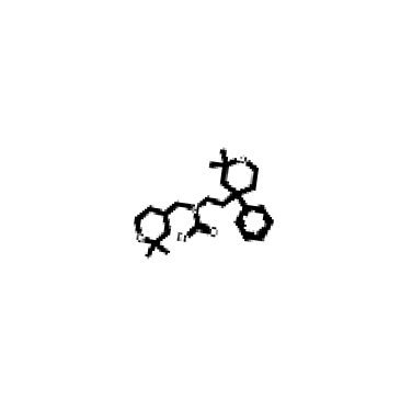 CCC(=O)N(CCC1(c2ccccc2)CCOC(C)(C)C1)CC1CCOC(C)(C)C1